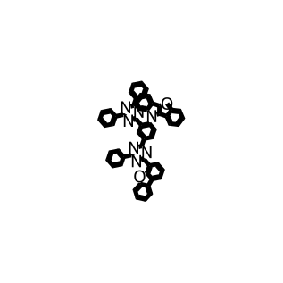 c1ccc(-c2nc(-c3ccccc3)nc(-c3cc(-c4nc(-c5ccccc5)nc(-c5cccc6c5oc5ccccc56)n4)ccc3N3c4ccccc4C4Oc5ccccc5C43)n2)cc1